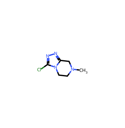 CN1CCn2c(Cl)nnc2C1